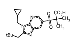 CC(C)(C)Cc1nc2cc(S(=O)(=O)C(C)(C)C(=O)O)cnc2n1CC1CC1